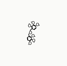 COc1ccc(COCc2ccc(OC)c(OC)c2OC)c(OC)c1OC